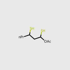 CCCC(S)CC(S)OC(C)=O